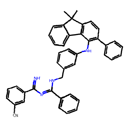 CC1(C)c2ccccc2-c2c1ccc(-c1ccccc1)c2Nc1cccc(CN/C(=N\C(=N)c2cccc(C#N)c2)c2ccccc2)c1